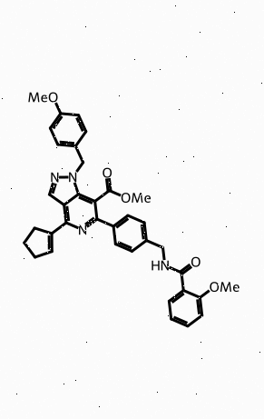 COC(=O)c1c(-c2ccc(CNC(=O)c3ccccc3OC)cc2)nc(C2=CCCC2)c2cnn(Cc3ccc(OC)cc3)c12